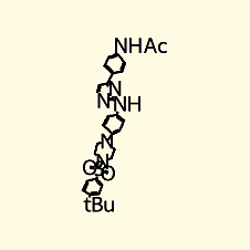 CC(=O)Nc1ccc(-c2ccnc(Nc3ccc(N4CCN(S(=O)(=O)c5ccc(C(C)(C)C)cc5)CC4)cc3)n2)cc1